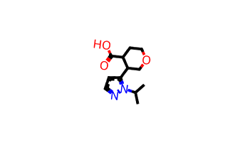 CC(C)n1nccc1C1COCCC1C(=O)O